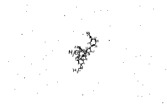 COc1ccc2c(c1)CC1[C@]3(c4cc(-c5cccc(C#N)c5)cs4)NC(=N)N(C)C(=O)[C@@]213